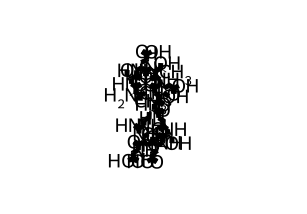 CC(C)[C@H](N)C(=O)N[C@@H](CO)C(=O)N[C@@H](CCC(=O)O)C(=O)N[C@H](C(=O)N[C@@H](CCC(=O)O)C(=O)N[C@@H](CO)C(=O)N[C@@H](CCCNC(=N)N)C(=O)NCC(=O)N[C@@H](CO)C(=O)N[C@@H](CCC(=O)O)C(=O)N[C@@H](CO)C(=O)NCC(=O)O)[C@@H](C)O